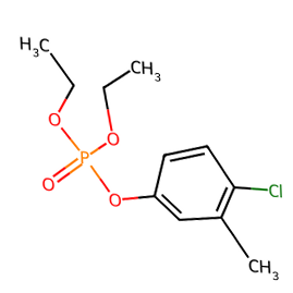 CCOP(=O)(OCC)Oc1ccc(Cl)c(C)c1